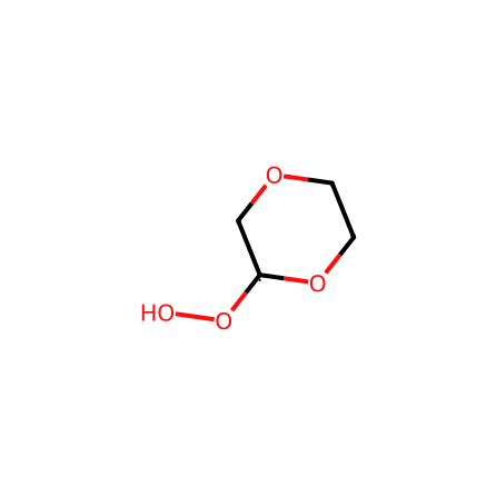 OO[C]1COCCO1